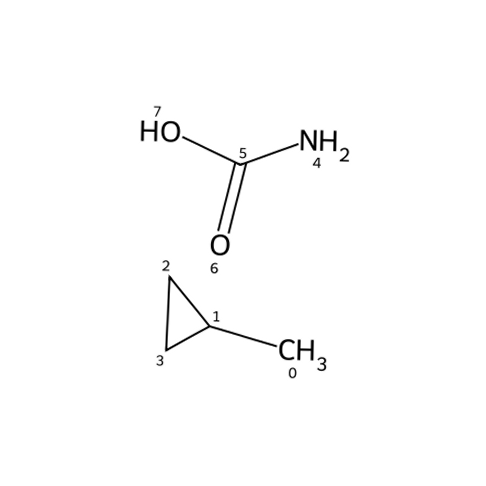 CC1CC1.NC(=O)O